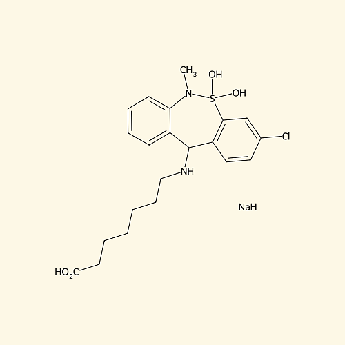 CN1c2ccccc2C(NCCCCCCC(=O)O)c2ccc(Cl)cc2S1(O)O.[NaH]